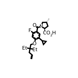 C=CCC(CC)(CC)COc1cc(F)c(C(=O)N2C[C@H](C)C[C@H]2C(=O)O)cc1C1CC1